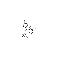 CC(C)(C)[Si](C)(C)OCC(c1ccc(F)cc1)n1cccc(Br)c1=O